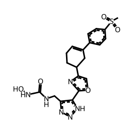 CS(=O)(=O)c1ccc(C2=CCCC(c3coc(-c4[nH]nnc4CNC(=O)NO)n3)C2)cc1